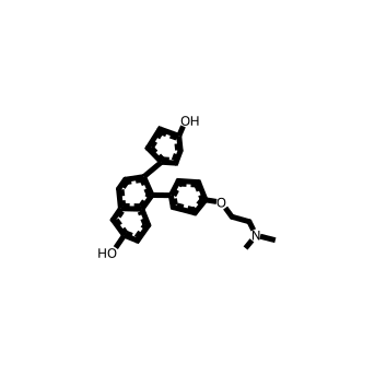 CN(C)CCOc1ccc(-c2c(-c3ccc(O)cc3)ccc3cc(O)ccc23)cc1